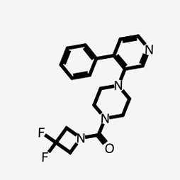 O=C(N1CCN(c2cnccc2-c2ccccc2)CC1)N1CC(F)(F)C1